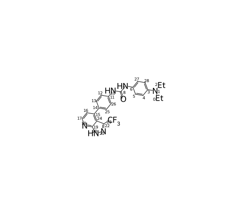 CCN(CC)c1ccc(NC(=O)Nc2ccc(-c3ccnc4[nH]nc(C(F)(F)F)c34)cc2)cc1